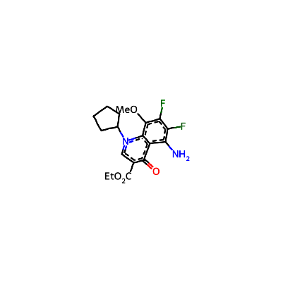 CCOC(=O)c1cn(C2CCCC2)c2c(OC)c(F)c(F)c(N)c2c1=O